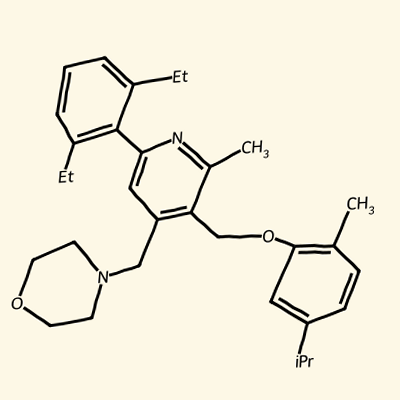 CCc1cccc(CC)c1-c1cc(CN2CCOCC2)c(COc2cc(C(C)C)ccc2C)c(C)n1